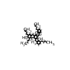 CCCCc1cccc(Cc2c(C)c(Cc3cccc(CCCC)c3)c(C)c(Cc3cc(CCCC)c(O)c(CCCC)c3)c2C)c1